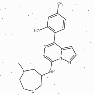 CN1CCOCC(Nc2nnc(-c3ccc(C(F)(F)F)cc3O)c3ccnn23)C1